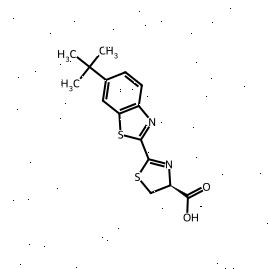 CC(C)(C)c1ccc2nc(C3=N[C@@H](C(=O)O)CS3)sc2c1